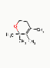 CC1=C(C)C(C)(C)OCC1